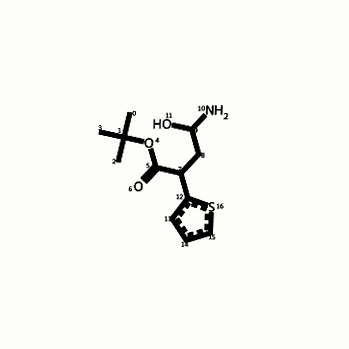 CC(C)(C)OC(=O)C(CC(N)O)c1cccs1